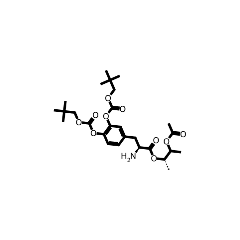 CC(=O)OC(C)[C@H](C)OC(=O)[C@@H](N)Cc1ccc(OC(=O)OCC(C)(C)C)c(OC(=O)OCC(C)(C)C)c1